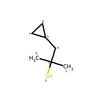 CC(C)(S)CC1CC1